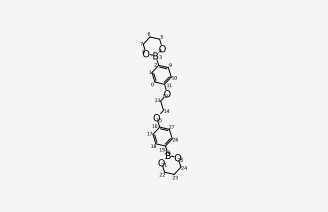 c1cc(B2OCCCO2)ccc1OCCOc1ccc(B2OCCCO2)cc1